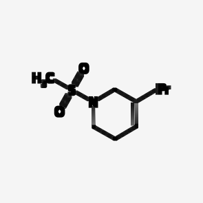 CC(C)C1=CCCN(S(C)(=O)=O)C1